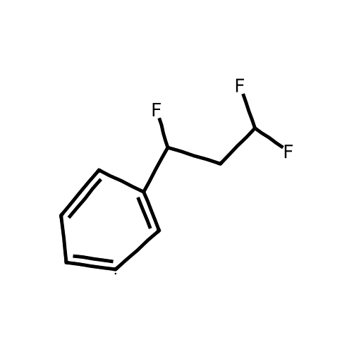 FC(F)CC(F)c1c[c]ccc1